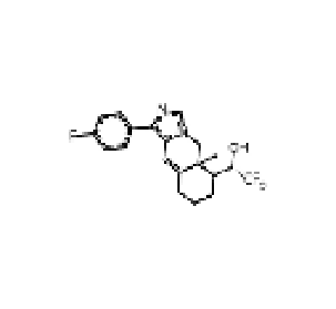 C[C@]12Cn3cnc(-c4ccc(F)cc4)c3C=C1CCC[C@@H]2[C@H](O)C(F)(F)F